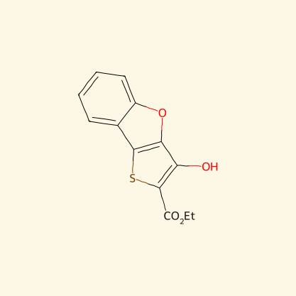 CCOC(=O)c1sc2c(oc3ccccc32)c1O